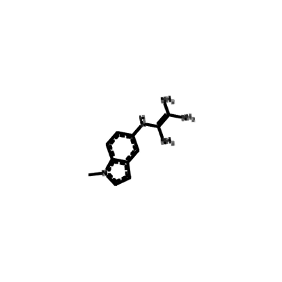 Cn1ccc2cc(NC(N)=C(N)N)ccc21